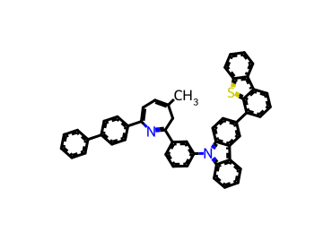 CC1=CC=C(c2ccc(-c3ccccc3)cc2)N=C(c2cccc(-n3c4ccccc4c4cc(-c5cccc6c5sc5ccccc56)ccc43)c2)C1